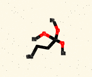 CCO[Si](CCC(C)(C)C)(OCC)OCC